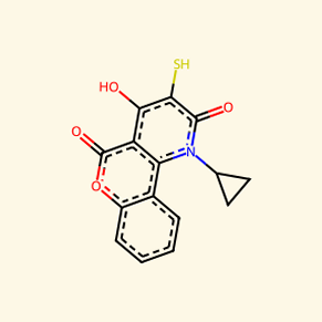 O=c1oc2ccccc2c2c1c(O)c(S)c(=O)n2C1CC1